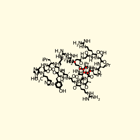 CC(C)C[C@H](NC(=O)[C@H](CCCNC(=N)N)NC(=O)[C@H](Cc1ccc(O)cc1)NC(=O)[C@H](C)NC(=O)CNC(=O)[C@H](CCCNC(=N)N)NC(=O)[C@H](C)NC(=O)[C@H](C)NC(=O)[C@H](CCCNC(=N)N)NC(=O)[C@H](CC(C)C)NC(=O)[C@@H](NC(=O)[C@H](CC(C)C)NC(=O)[C@H](CC(C)C)NC(=O)[C@H](CO)NC(=O)[C@H](CCCNC(=N)N)NC(=O)CNC(=O)CN)C(C)C)C(=O)N[C@@H](Cc1c[nH]cn1)C(=O)N[C@@H](Cc1c[nH]cn1)C(=O)O